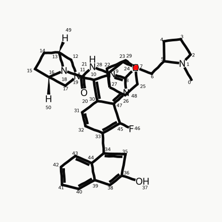 CN1CCCC1COc1nc(N2C[C@H]3CC[C@@H](C2)N3C(=O)NC2CN3CCC2CC3)c2ccc(-c3cc(O)cc4ccccc34)c(F)c2n1